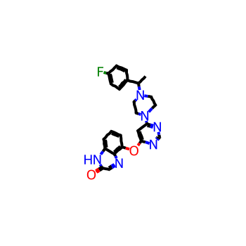 CC(c1ccc(F)cc1)N1CCN(c2cc(Oc3cccc4[nH]c(=O)cnc34)ncn2)CC1